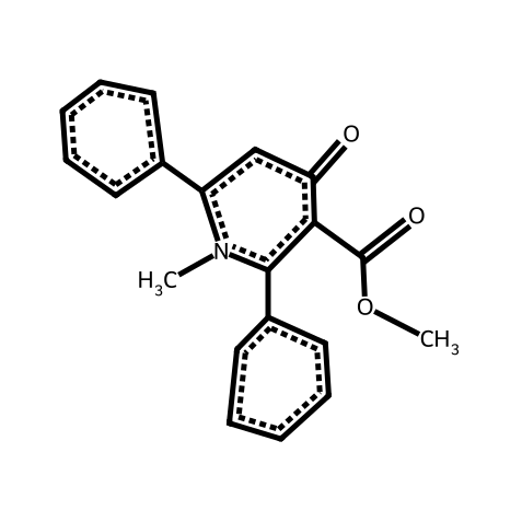 COC(=O)c1c(-c2ccccc2)n(C)c(-c2ccccc2)cc1=O